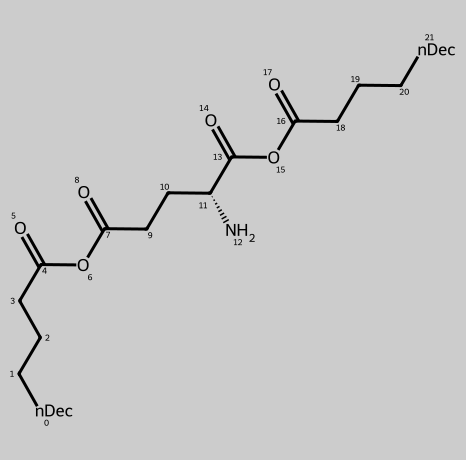 CCCCCCCCCCCCCC(=O)OC(=O)CC[C@@H](N)C(=O)OC(=O)CCCCCCCCCCCCC